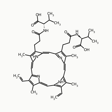 C=CC1=C(C)c2cc3[nH]c(cc4nc(cc5[nH]c(cc1n2)c(C)c5CCC(=O)N[C@H](C(=O)O)C(C)C)C(CCC(=O)N[C@H](C(=O)O)C(C)C)=C4C)c(C)c3C=C